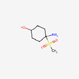 CS(=O)(=O)C1(N)CCC(O)CC1